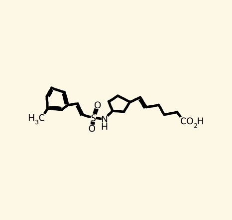 Cc1cccc(C=CS(=O)(=O)NC2CCC(C=CCCCC(=O)O)C2)c1